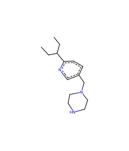 CCC(CC)c1ccc(CN2CCNCC2)cn1